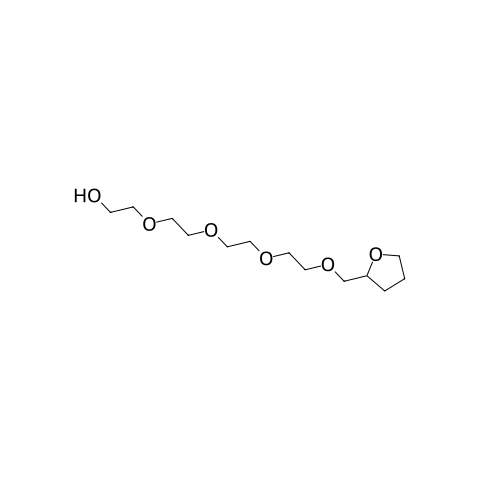 OCCOCCOCCOCCOCC1CCCO1